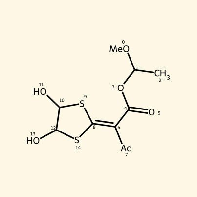 COC(C)OC(=O)C(C(C)=O)=C1SC(O)C(O)S1